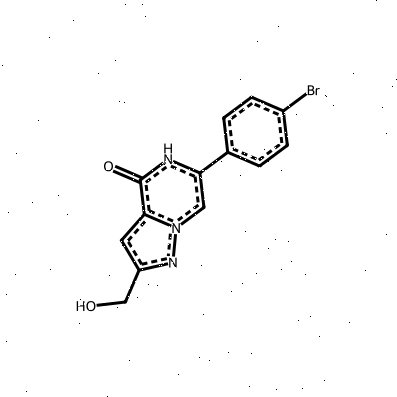 O=c1[nH]c(-c2ccc(Br)cc2)cn2nc(CO)cc12